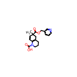 CC1(C(=O)OCc2cccnc2)C=CC2=C(CCCN2C(=O)O)C1